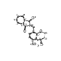 Nc1ccc(CN2C(=O)c3ccccc3C2=O)c2c1C(=O)CCO2